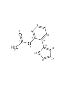 CC(=O)Oc1ccccc1-c1cccs1